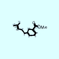 COC(=O)C1=CCC=C(CCC=C(C)C)C1